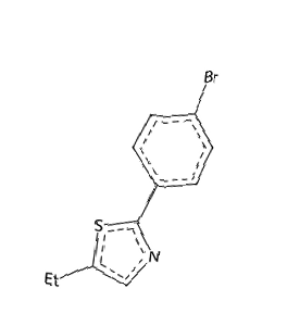 CCc1cnc(-c2ccc(Br)cc2)s1